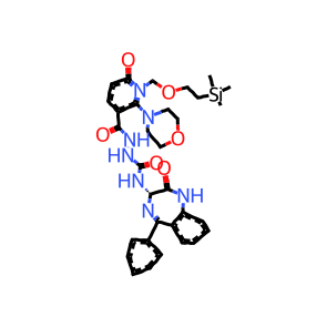 C[Si](C)(C)CCOCn1c(N2CCOCC2)c(C(=O)NNC(=O)N[C@H]2N=C(c3ccccc3)c3ccccc3NC2=O)ccc1=O